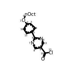 CCCCCCCCOc1ccc(-c2ncc(C(=O)Cl)cn2)cc1